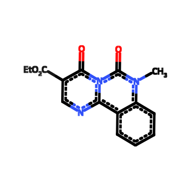 CCOC(=O)c1cnc2c3ccccc3n(C)c(=O)n2c1=O